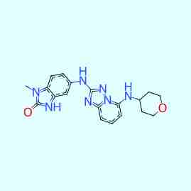 Cn1c(=O)[nH]c2cc(Nc3nc4cccc(NC5CCOCC5)n4n3)ccc21